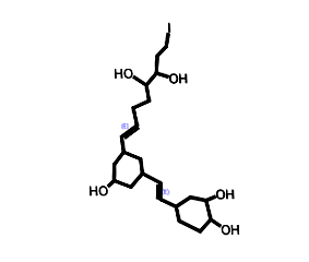 OC1CC(/C=C/CCC(O)C(O)CCI)CC(/C=C/C2CCC(O)C(O)C2)C1